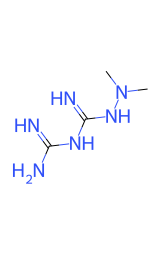 CN(C)NC(=N)NC(=N)N